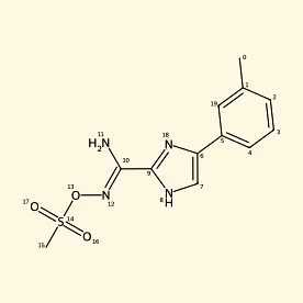 Cc1cccc(-c2c[nH]c(C(N)=NOS(C)(=O)=O)n2)c1